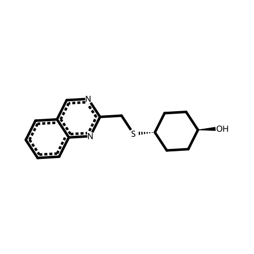 O[C@H]1CC[C@H](SCc2ncc3ccccc3n2)CC1